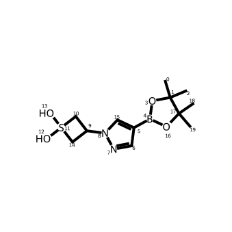 CC1(C)OB(c2cnn(C3CS(O)(O)C3)c2)OC1(C)C